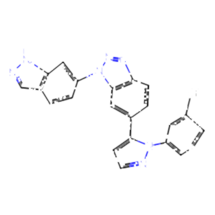 FC(F)(F)c1cccc(-n2nccc2-c2ccc3nnn(-c4ccc5cn[nH]c5c4)c3c2)c1